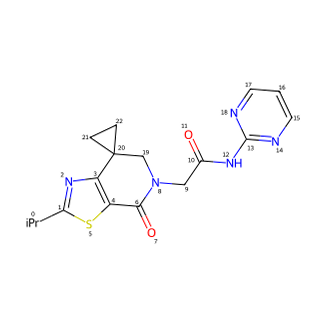 CC(C)c1nc2c(s1)C(=O)N(CC(=O)Nc1ncccn1)CC21CC1